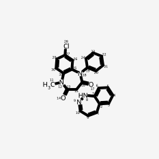 C1=Cc2ccccc2NN=C1.CN1C(=O)CC(=O)N(c2ccccc2)c2cc(Cl)ccc21